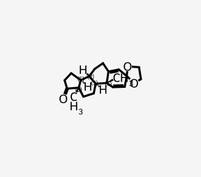 C[C@]12C=CC3(C=C1CC[C@@H]1[C@@H]2CC[C@]2(C)C(=O)CC[C@@H]12)OCCO3